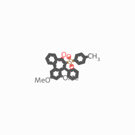 COc1cc(OC)c2c(-c3ccccc3)c(S(=O)(=O)c3ccc(C)cc3)c(=O)c3ccccc3c2c1